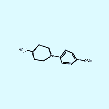 COc1ccc(N2CCC(C(=O)O)CC2)cc1